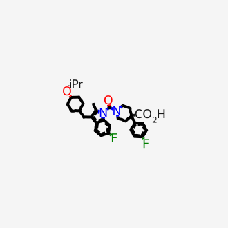 Cc1c(CC2CCC(OC(C)C)CC2)c2ccc(F)cc2n1C(=O)N1CCC(C(=O)O)(c2ccc(F)cc2)CC1